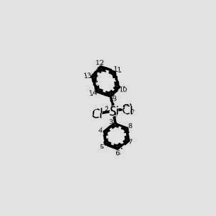 Cl[Si](Cl)(c1cc[c]cc1)c1ccccc1